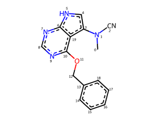 CN(C#N)c1c[nH]c2ncnc(OCc3ccccc3)c12